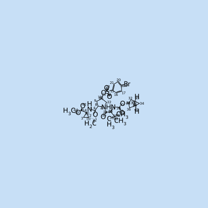 C=C[C@@H]1C[C@]1(NC(=O)C1C[C@@H](OS(=O)(=O)c2ccc(Br)cc2)CN1C(=O)[C@@H](NC(=O)O[C@@H]1C[C@@H]2C[C@@H]2C1)C(C)(C)C)C(=O)OC